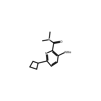 CNc1ccc(C2CCC2)nc1C(=O)N(C)C